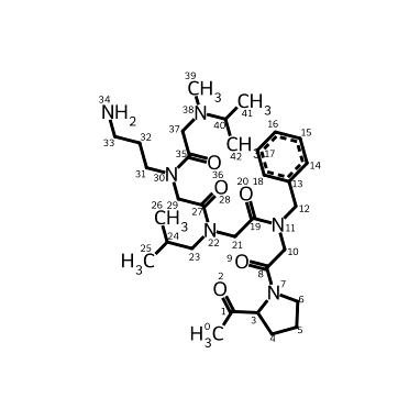 CC(=O)C1CCCN1C(=O)CN(Cc1ccccc1)C(=O)CN(CC(C)C)C(=O)CN(CCCN)C(=O)CN(C)C(C)C